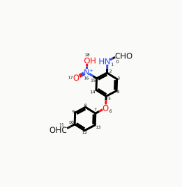 O=CNc1ccc(Oc2ccc(C=O)cc2)cc1[N+](=O)O